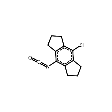 O=C=Nc1c2c(c(Cl)c3c1CCC3)CCC2